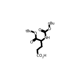 CCCCOC(=O)NC(CCC(=O)O)C(=O)OC(C)(C)C